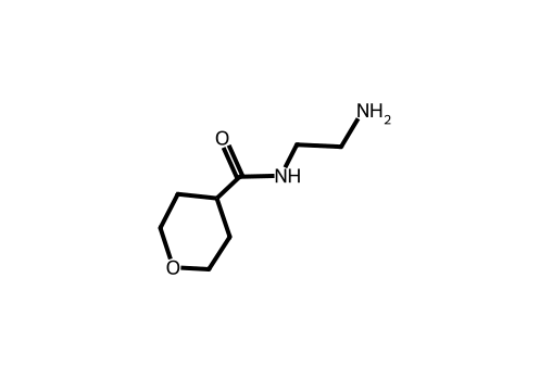 NCCNC(=O)C1CCOCC1